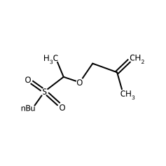 C=C(C)COC(C)S(=O)(=O)CCCC